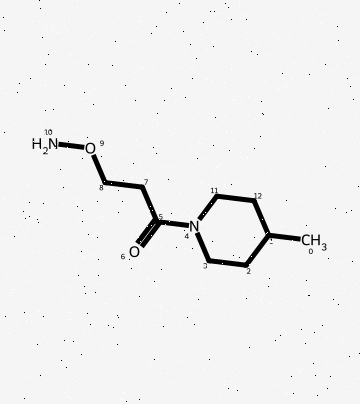 CC1CCN(C(=O)CCON)CC1